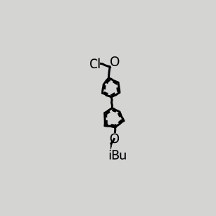 CC[C@H](C)COc1ccc(-c2ccc(C(=O)Cl)cc2)cc1